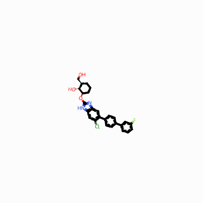 OC[C@H]1CCC[C@@H](Oc2nc3cc(-c4ccc(-c5cccc(F)c5)cc4)c(Cl)cc3[nH]2)[C@@H]1O